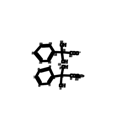 O=C([O-])C(O)(O)c1ccccc1.O=C([O-])C(O)(O)c1ccccc1.[Zn+2]